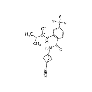 CC(C)[S+]([O-])Nc1cc(C(F)(F)F)ccc1C(=O)NC12CC(C#N)(C1)C2